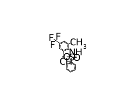 C#Cc1cc(C(F)(F)F)cc(C)c1NS(=O)(=O)c1ccccc1